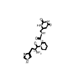 N[C@@H](Cc1c[nH]cn1)C(=O)N1CCCC[C@H]1C(=O)NCc1cc(=O)[nH]c(=O)[nH]1